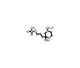 CC(C)(C)C1(CCCOS(C)(=O)=O)CN(C(=O)O)CCO1